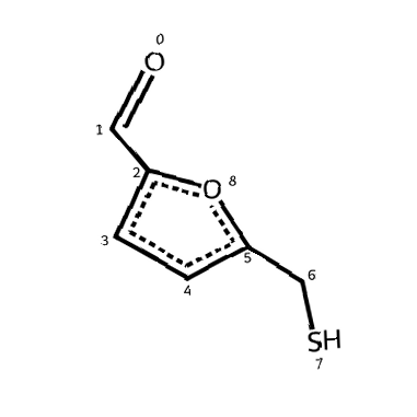 O=Cc1ccc(CS)o1